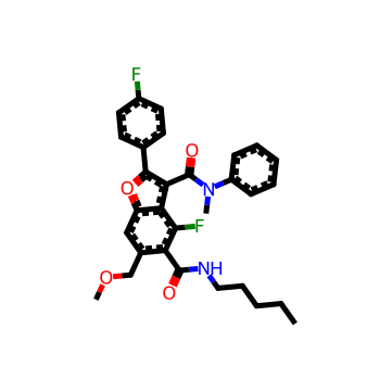 CCCCCNC(=O)c1c(COC)cc2oc(-c3ccc(F)cc3)c(C(=O)N(C)c3ccccc3)c2c1F